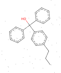 [CH2]CCc1ccc(C(O)(c2ccccc2)c2ccccc2)cc1